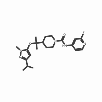 CC(F)c1cc(SC(C)(C)C2CCN(C(=O)Nc3ccnc(F)c3)CC2)n(C)n1